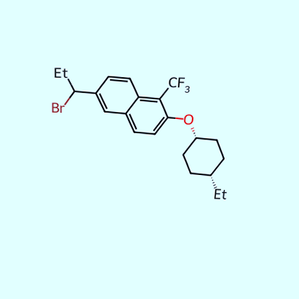 CCC(Br)c1ccc2c(C(F)(F)F)c(O[C@H]3CC[C@@H](CC)CC3)ccc2c1